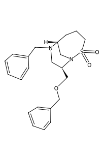 O=S1(=O)CCC[C@@H]2CN1[C@@H](COCc1ccccc1)CN2Cc1ccccc1